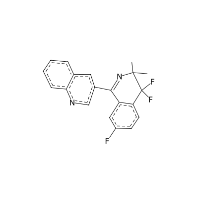 CC1(C)N=C(c2cnc3ccccc3c2)c2cc(F)ccc2C1(F)F